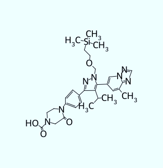 Cc1cc(-c2c(C(C)C)c(-c3ccc(N4CCN(C(=O)O)CC4=O)cc3)nn2COCC[Si](C)(C)C)cn2ncnc12